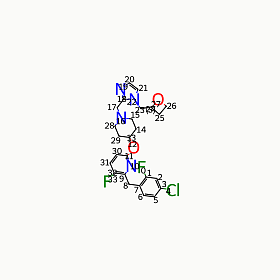 Fc1cc(Cl)ccc1Cc1nc(OC2CCN(Cc3nccn3C[C@@H]3CCO3)CC2)ccc1F